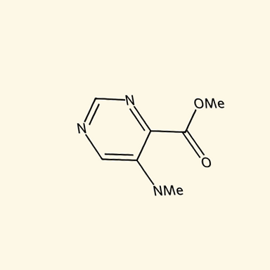 CNc1cncnc1C(=O)OC